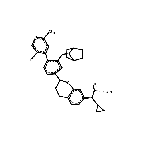 Cc1cc(-c2ccc(C3CCc4ccc([C@H](C5CC5)[C@H](C)C(=O)O)cc4O3)cc2CN2C3CCC2CC3)c(F)cn1